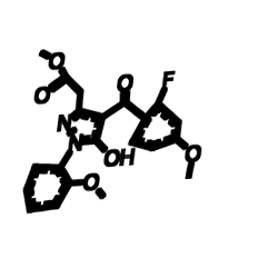 COC(=O)Cc1nn(-c2ccccc2OC)c(O)c1C(=O)c1ccc(OC)cc1F